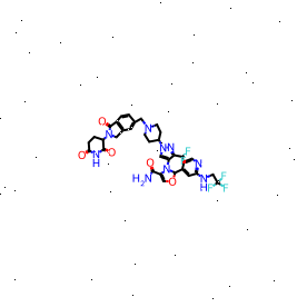 NC(=O)C1=COC(c2ccnc(NCC(F)(F)F)c2)N1c1cn(C2CCN(Cc3ccc4c(c3)CN(C3CCC(=O)NC3=O)C4=O)CC2)nc1C(F)F